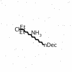 CCCCCCCCCCCCCCCCCCCCCCC(Cl)(CC)CC.N